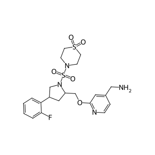 NCc1ccnc(OCC2CC(c3ccccc3F)CN2S(=O)(=O)N2CCS(=O)(=O)CC2)c1